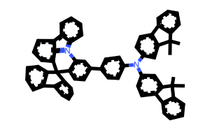 CC1(C)c2ccccc2-c2ccc(N(c3ccc(-c4ccc5c(c4)-n4c6ccccc6c6cccc(c64)C54c5ccccc5-c5ccccc54)cc3)c3ccc4c(c3)C(C)(C)c3ccccc3-4)cc21